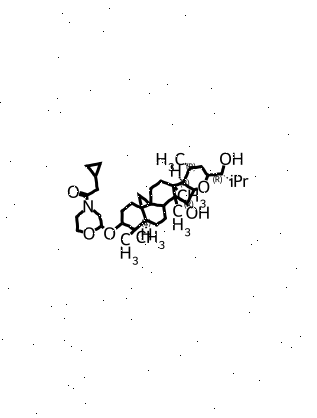 CC(C)[C@@H](O)C1C[C@@H](C)[C@H]2C(O1)[C@H](O)C1(C)C3CC[C@H]4C(C)(C)C(OC5CN(C(=O)CC6CC6)CCO5)CCC45CC35CCC21C